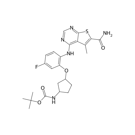 Cc1c(C(N)=O)sc2ncnc(Nc3ccc(F)cc3OC3CCC(NC(=O)OC(C)(C)C)C3)c12